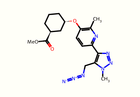 COC(=O)[C@H]1CCC[C@H](Oc2ccc(-c3nnn(C)c3CN=[N+]=[N-])nc2C)C1